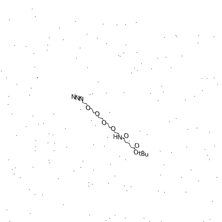 CC(C)(C)OC(=O)CCCC(=O)NCCOCCOCCOCCOCCN=[N+]=[N-]